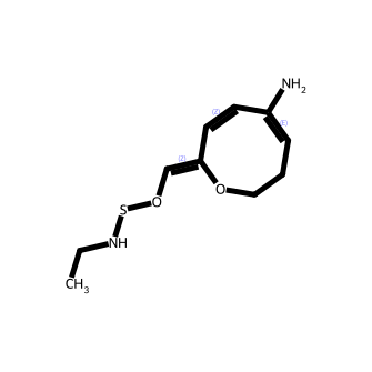 CCNSO/C=C1/C=C\C(N)=C/CCO1